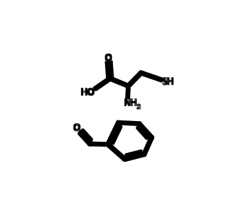 NC(CS)C(=O)O.O=Cc1ccccc1